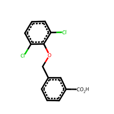 O=C(O)c1cccc(COc2c(Cl)cccc2Cl)c1